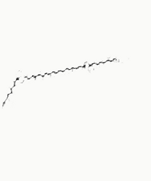 CCCCCCCCCCCCCCCCCC(=O)OCCCCCCCCCCCCCCCCCCOC(=O)CCCCCCCCCCCCCCCCC